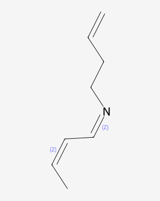 C=CCC/N=C\C=C/C